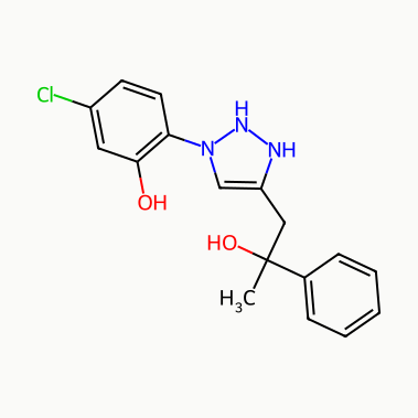 CC(O)(CC1=CN(c2ccc(Cl)cc2O)NN1)c1ccccc1